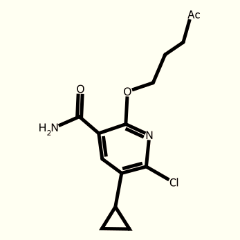 CC(=O)CCCOc1nc(Cl)c(C2CC2)cc1C(N)=O